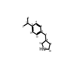 CC(C)c1ccc(CC2CCNC2)cc1